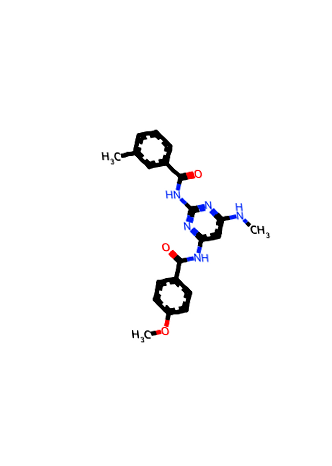 CNc1cc(NC(=O)c2ccc(OC)cc2)nc(NC(=O)c2cccc(C)c2)n1